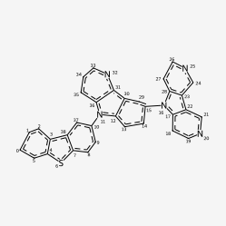 c1ccc2c(c1)sc1ccc(-n3c4ccc(-n5c6ccncc6c6cnccc65)cc4c4ncccc43)cc12